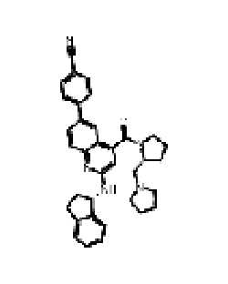 N#Cc1ccc(-c2ccc3nc(N[C@H]4CCc5ccccc54)cc(C(=O)N4CCC[C@H]4CN4CCCC4)c3c2)cc1